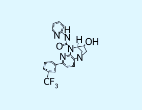 O=C(Nc1ccccn1)N1c2nc(-c3cccc(C(F)(F)F)c3)ccc2N2C[C@@H]1[C@@H](O)C2